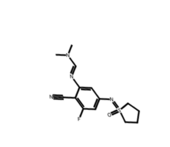 CN(C)C=Nc1cc(N=S2(=O)CCCC2)cc(F)c1C#N